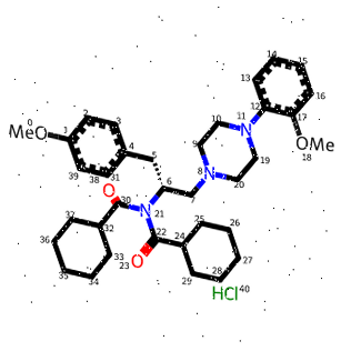 COc1ccc(C[C@H](CN2CCN(c3ccccc3OC)CC2)N(C(=O)C2CCCCC2)C(=O)C2CCCCC2)cc1.Cl